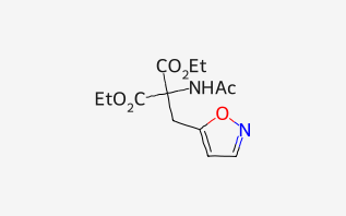 CCOC(=O)C(Cc1ccno1)(NC(C)=O)C(=O)OCC